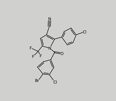 N#Cc1cc(C(F)(F)F)n(C(=O)c2ccc(Br)c(Cl)c2)c1-c1ccc(Cl)cc1